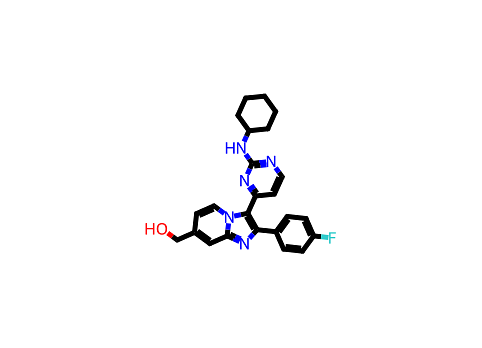 OCc1ccn2c(-c3ccnc(NC4CCCCC4)n3)c(-c3ccc(F)cc3)nc2c1